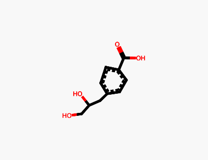 O=C(O)c1ccc(CC(O)CO)cc1